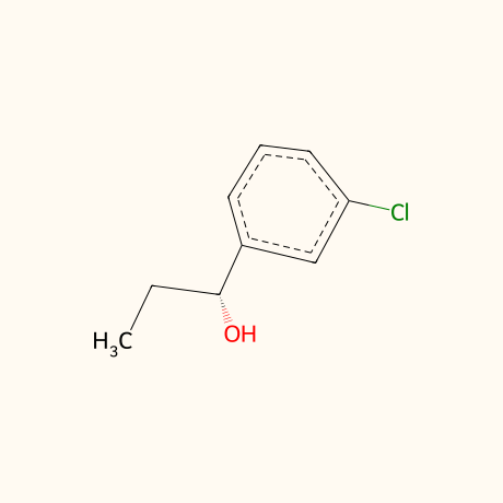 CC[C@@H](O)c1cccc(Cl)c1